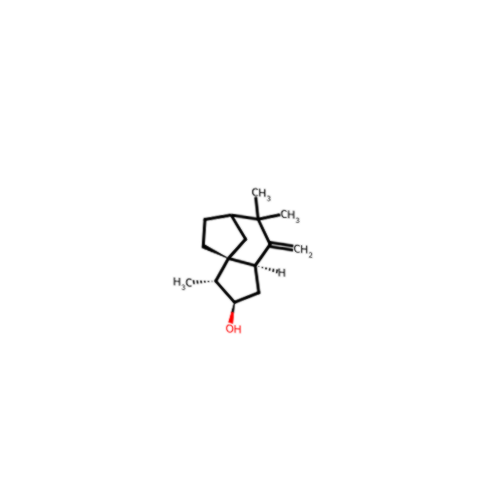 C=C1[C@H]2C[C@@H](O)[C@H](C)[C@@]23CCC(C3)C1(C)C